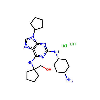 Cl.Cl.N[C@H]1CC[C@H](Nc2nc(NC3(CO)CCCC3)c3ncn(C4CCCC4)c3n2)CC1